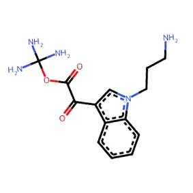 NCCCn1cc(C(=O)C(=O)OC(N)(N)N)c2ccccc21